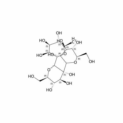 C[C@H]1OC([C]2O[C@H](CO)[C@@H](O)[C@H](O)[C@]2(O)C2O[C@H](CO)[C@@H](O)[C@H](O)[C@H]2O)[C@@H](O)[C@@H](O)[C@@H]1O